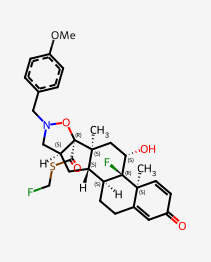 COc1ccc(CN2C[C@@H]3C[C@H]4[C@@H]5CCC6=CC(=O)C=C[C@]6(C)[C@@]5(F)[C@@H](O)C[C@]4(C)[C@]3(C(=O)SCF)O2)cc1